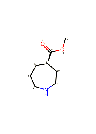 COC(=O)[C@@H]1CCCNCC1